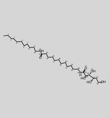 CCCCCCCCCCCNC(=O)CCCCCCCCCCCNC(=O)[C@H](O)[C@@H](O)[C@H](O)CCO